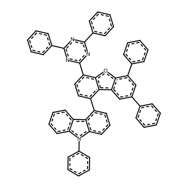 c1ccc(-c2cc(-c3ccccc3)c3oc4c(-c5nc(-c6ccccc6)nc(-c6ccccc6)n5)ccc(-c5cccc6c5c5ccccc5n6-c5ccccc5)c4c3c2)cc1